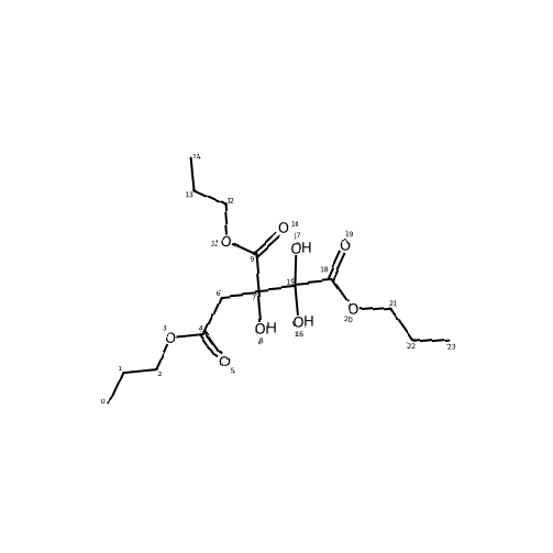 CCCOC(=O)CC(O)(C(=O)OCCC)C(O)(O)C(=O)OCCC